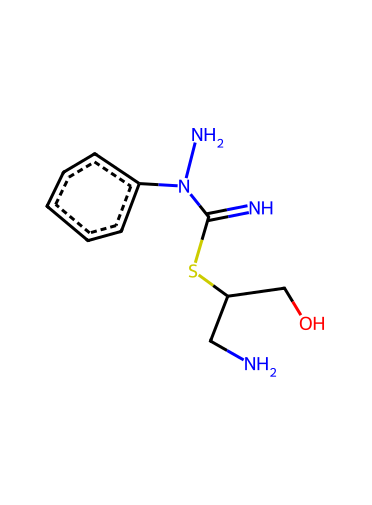 N=C(SC(CN)CO)N(N)c1ccccc1